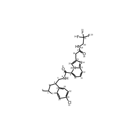 CC(C)CC(CNC(=O)c1cccc2nc(CC(=O)NCC(F)(F)F)cn12)c1ccc(Cl)cc1